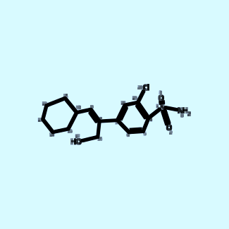 NS(=O)(=O)c1ccc(C(=CC2CCCCC2)CO)cc1Cl